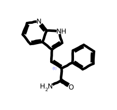 NC(=O)/C(=C/c1c[nH]c2ncccc12)c1ccccc1